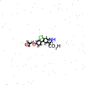 O=C(O)c1c[nH]c2cc(Cl)c(-c3ccc(OCC4=COC4)cc3)cc12